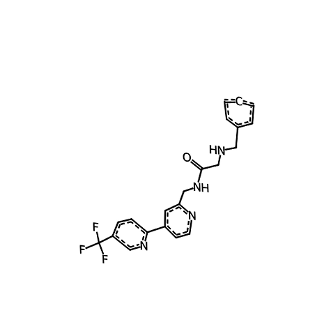 O=C(CNCc1ccccc1)NCc1cc(-c2ccc(C(F)(F)F)cn2)ccn1